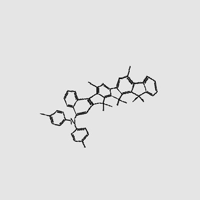 Cc1ccc(N(c2ccc(C)cc2)c2cc3c(c4ccccc24)-c2c(C)cc4c(c2C3(C)C)C(C)(C)c2c-4cc(C)c3c2C(C)(C)c2ccccc2-3)cc1